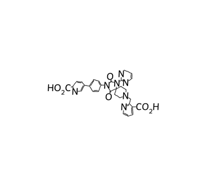 O=C(O)c1ccc(-c2ccc(N3C(=O)N(c4ncccn4)C4(CCN(Cc5ncccc5C(=O)O)CC4)C3=O)cc2)cn1